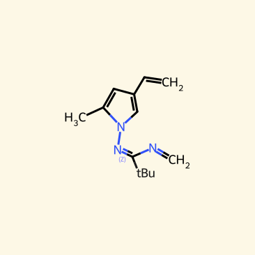 C=Cc1cc(C)n(/N=C(\N=C)C(C)(C)C)c1